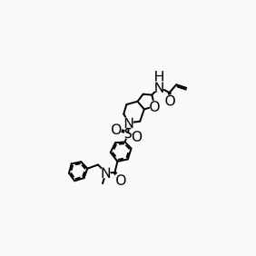 C=CC(=O)NC1CC2CCN(S(=O)(=O)c3ccc(C(=O)N(C)Cc4ccccc4)cc3)CC2O1